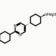 CCCCCCC[C@H]1CC[C@H](c2cnc(C3CCCCC3)nc2)CC1